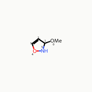 COC1[C]=CON1